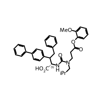 COc1ccccc1OC(=O)CCN(CC(C)C)C(=O)N[C@H](C(=O)O)C(Cc1ccccc1)c1ccc(-c2ccccc2)cc1